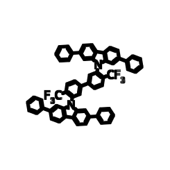 FC(F)(F)c1ccc(-c2ccc(C(F)(F)F)c(-n3c4cc(-c5ccccc5)ccc4c4ccc(-c5ccccc5)cc43)c2)cc1-n1c2cc(-c3ccccc3)ccc2c2ccc(-c3ccccc3)cc21